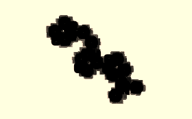 c1ccc(-c2nc(-c3ccccc3)nc(-n3c4cccc5c4c4c6c(ccc43)cc(-c3cc4c7c(c3)oc3c(-c8cccc(-c9cccc(-c%10cc%11ccc%12oc%13cccc%14c%13c%12c%11c%11c%10oc%10cccc-%14c%10%11)c9)c8)cc8ccc9oc%10cccc-4c%10c9c8c37)c3oc4cccc-5c4c36)n2)cc1